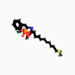 CCOP(=O)(OCC)C(Cc1ccccc1)NC(=O)CCCCCCCCCCSCC